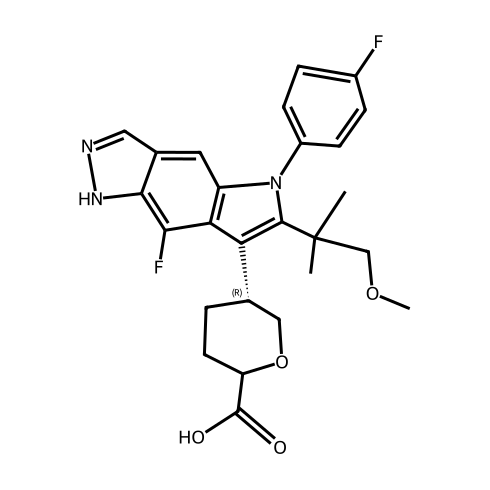 COCC(C)(C)c1c([C@H]2CCC(C(=O)O)OC2)c2c(F)c3[nH]ncc3cc2n1-c1ccc(F)cc1